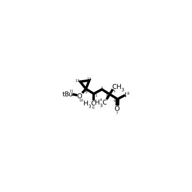 CC(CC(C)(C)C(=O)I)C1(OC(C)(C)C)CC1